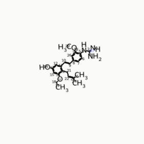 [H]/N=C(\N)Nc1ccc(C=Cc2cc(O)cc(OCC)c2CC=C(C)C)cc1OC